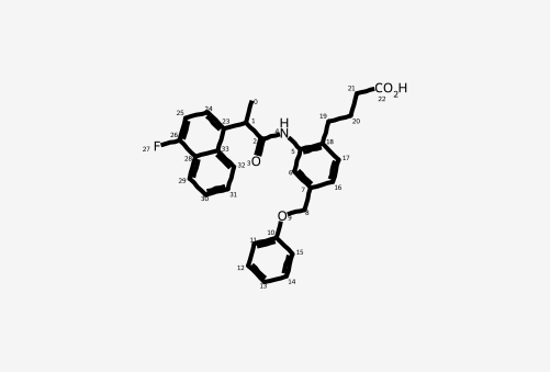 CC(C(=O)Nc1cc(COc2ccccc2)ccc1CCCC(=O)O)c1ccc(F)c2ccccc12